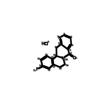 Cl.O=C1c2cccnc2CC2c3ccc(F)cc3CCN12